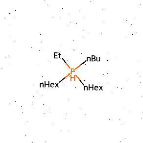 CCCCCC[PH](CC)(CCCC)CCCCCC